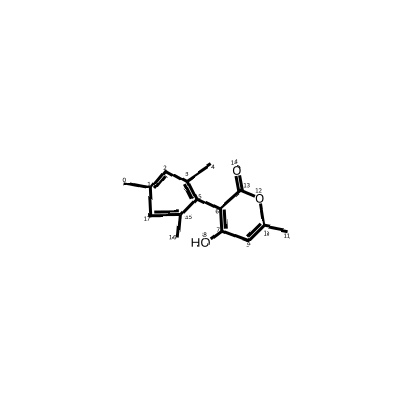 Cc1cc(C)c(-c2c(O)cc(C)oc2=O)c(C)c1